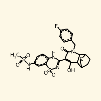 CS(=O)(=O)Nc1ccc2c(c1)S(=O)(=O)N=C(C1=C(O)C3C4CCC(CC4)C3N(Cc3ccc(F)cc3)C1=O)N2